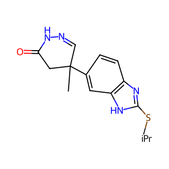 CC(C)Sc1nc2ccc(C3(C)C=NNC(=O)C3)cc2[nH]1